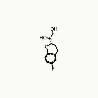 OCB(O)[C@@H]1CCc2cc(F)ccc2O1